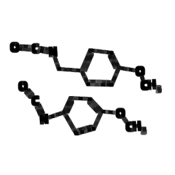 COc1ccc(CN=C=O)cc1.COc1ccc(N=C=O)cc1